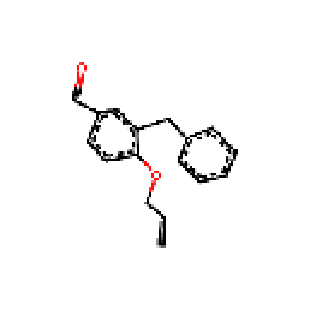 C=CCOc1ccc(C=O)cc1Cc1ccccc1